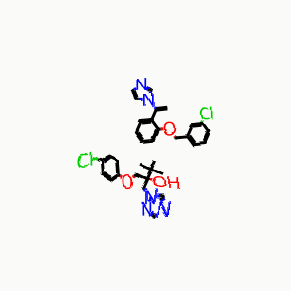 C=C(c1ccccc1OCc1cccc(Cl)c1)n1ccnc1.CC(C)(C)C(O)(COc1ccc(Cl)cc1)Cn1cncn1